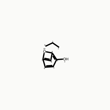 CCC.Oc1ccc2cc1O2